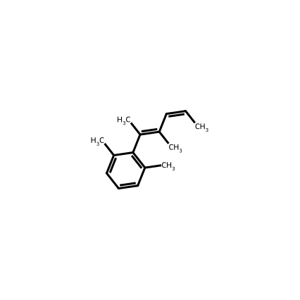 C/C=C\C(C)=C(/C)c1c(C)cccc1C